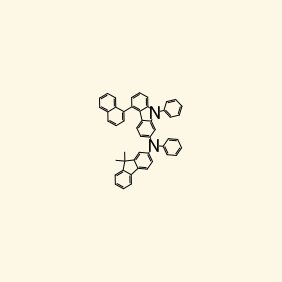 CC1(C)c2ccccc2-c2ccc(N(c3ccccc3)c3ccc4c5c(-c6cccc7ccccc67)cccc5n(-c5ccccc5)c4c3)cc21